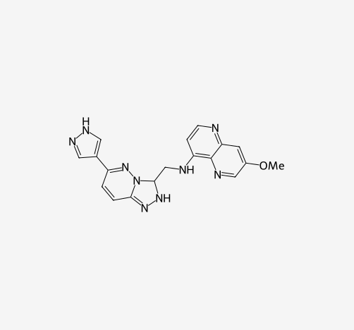 COc1cnc2c(NCC3NN=C4C=CC(c5cn[nH]c5)=NN43)ccnc2c1